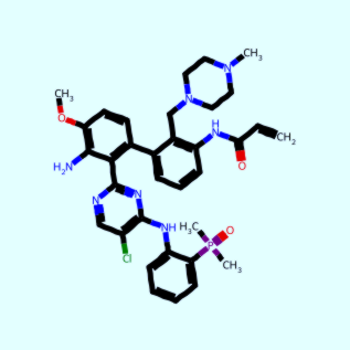 C=CC(=O)Nc1cccc(-c2ccc(OC)c(N)c2-c2ncc(Cl)c(Nc3ccccc3P(C)(C)=O)n2)c1CN1CCN(C)CC1